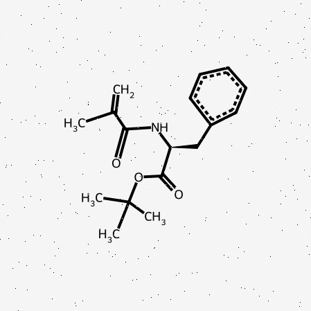 C=C(C)C(=O)N[C@@H](Cc1ccccc1)C(=O)OC(C)(C)C